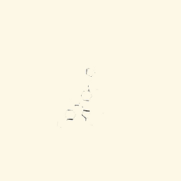 CC1=CC[C@H](C(=O)N(c2cc(C(C)(C)C)sc2C(=O)O)[C@H]2CC[C@](O)(CO[C@@H]3CCOC3)CC2)CC1